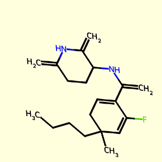 C=C1CCC(NC(=C)C2=CCC(C)(CCCC)C=C2F)C(=C)N1